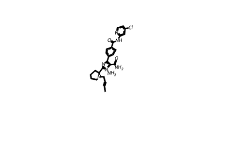 CC#CCN1CCCCC1c1nc(-c2ccc(C(=O)Nc3cc(Cl)ccn3)cc2)c(C(N)=O)n1N